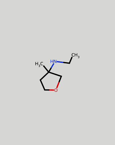 CCNC1(C)CCOC1